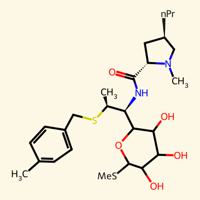 CCC[C@@H]1C[C@@H](C(=O)N[C@@H](C2OC(SC)C(O)C(O)C2O)[C@H](C)SCc2ccc(C)cc2)N(C)C1